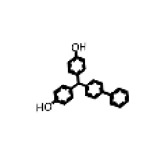 Oc1ccc(C(c2ccc(O)cc2)c2ccc(-c3ccccc3)cc2)cc1